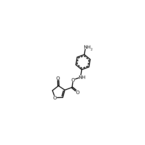 Nc1ccc(NOC(=O)C2=COCC2=O)cc1